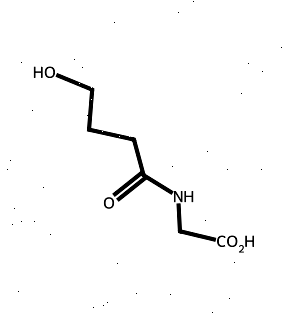 O=C(O)CNC(=O)CCCO